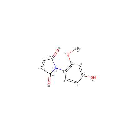 CCCOc1cc(O)ccc1N1C(=O)C=CC1=O